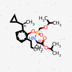 CCCc1cccc([C@H](C)C2CC2)c1OP(=O)(COC(C)C)N[C@@H](C)C(=O)OC(C)C